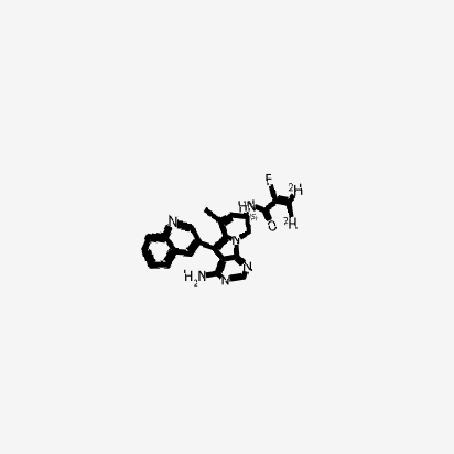 [2H]C([2H])=C(F)C(=O)N[C@H]1C=C(C)c2c(-c3cnc4ccccc4c3)c3c(N)ncnc3n2C1